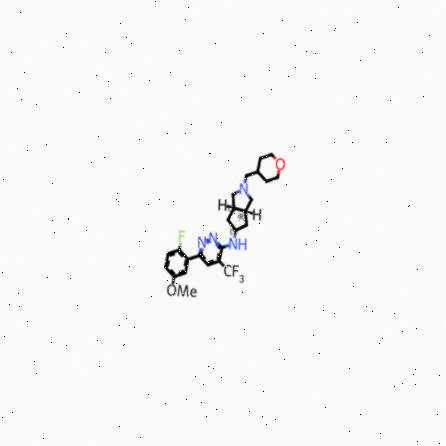 COc1ccc(F)c(-c2cc(C(F)(F)F)c(N[C@H]3C[C@@H]4CN(CC5CCOCC5)C[C@@H]4C3)nn2)c1